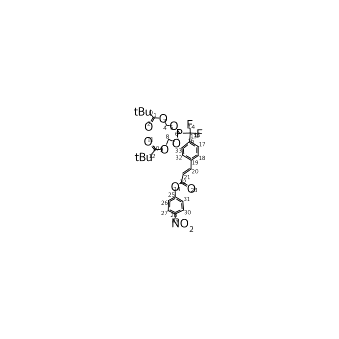 CC(C)(C)C(=O)OCOP(OCOC(=O)C(C)(C)C)C(F)(F)c1ccc(/C=C/C(=O)Oc2ccc([N+](=O)[O-])cc2)cc1